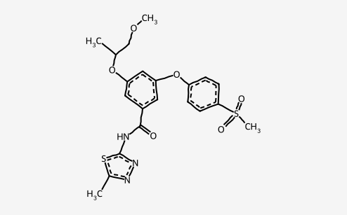 COCC(C)Oc1cc(Oc2ccc(S(C)(=O)=O)cc2)cc(C(=O)Nc2nnc(C)s2)c1